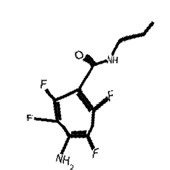 CCCNC(=O)c1c(F)c(F)c(N)c(F)c1F